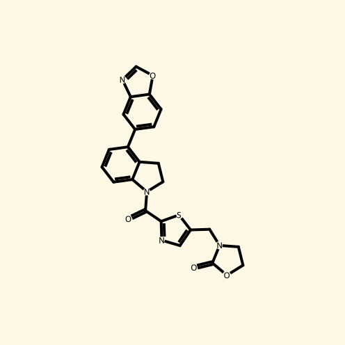 O=C1OCCN1Cc1cnc(C(=O)N2CCc3c(-c4ccc5ocnc5c4)cccc32)s1